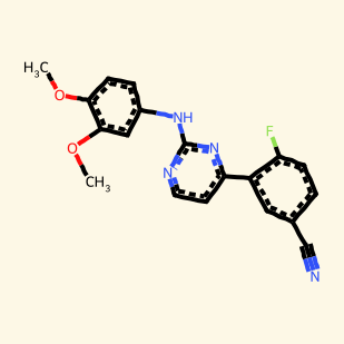 COc1ccc(Nc2nccc(-c3cc(C#N)ccc3F)n2)cc1OC